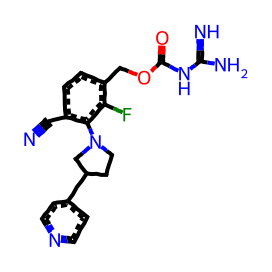 N#Cc1ccc(COC(=O)NC(=N)N)c(F)c1N1CCC(c2ccncc2)C1